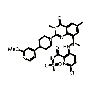 COc1cc(C2CCN(c3nc4c([C@@H](C)Nc5ccc(Cl)nc5C(=O)NS(C)(=O)=O)cc(C)cc4c(=O)n3C)CC2)ccn1